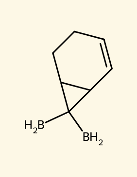 BC1(B)C2C=CCCC21